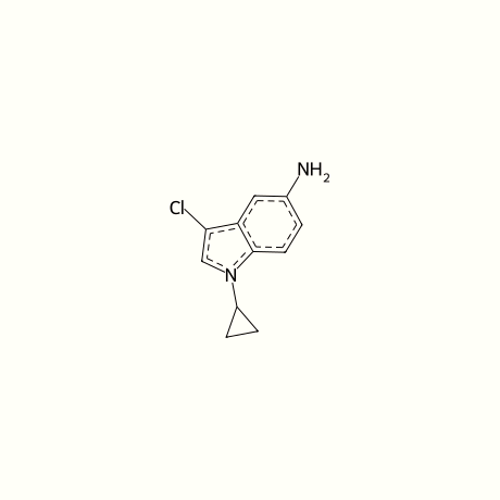 Nc1ccc2c(c1)c(Cl)cn2C1CC1